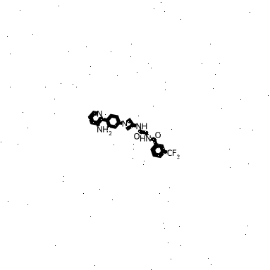 Nc1cccnc1C1CCC(N2CC(NC(=O)CNC(=O)c3cccc(C(F)(F)F)c3)C2)CC1